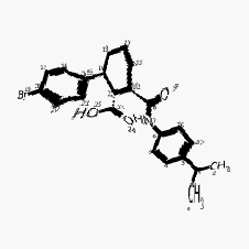 CC(C)c1ccc(NC(=O)[C@@H]2CCC[C@H](c3ccc(Br)cc3)[C@H]2C(=O)O)cc1